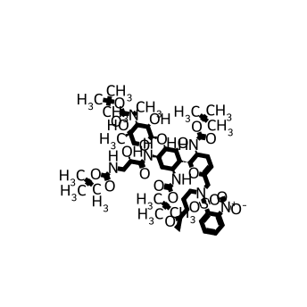 CN(C(=O)OC(C)(C)C)[C@@H]1[C@@H](O)[C@@H](O[C@H]2[C@H](NC(=O)[C@@H](O)CNC(=O)OC(C)(C)C)C[C@H](NC(=O)OC(C)(C)C)C([C@H]3OC(CN(CCCC4CO4)S(=O)(=O)c4ccccc4[N+](=O)[O-])=CC[C@H]3NC(=O)OC(C)(C)C)[C@@H]2O)OC[C@]1(C)O